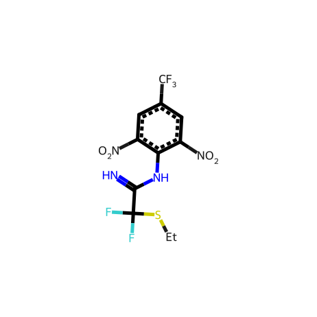 CCSC(F)(F)C(=N)Nc1c([N+](=O)[O-])cc(C(F)(F)F)cc1[N+](=O)[O-]